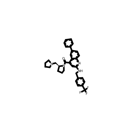 O=C(c1cc(NCc2ccc(C(F)(F)F)cc2)nc2ccc(-c3ccccc3)cc12)N1CCC[C@H]1CN1CCCC1